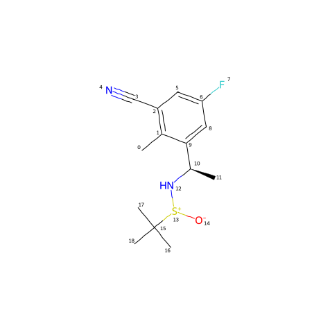 Cc1c(C#N)cc(F)cc1[C@@H](C)N[S+]([O-])C(C)(C)C